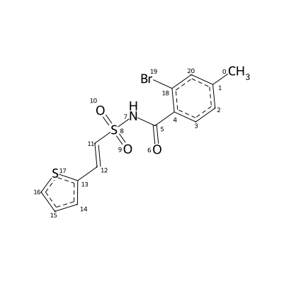 Cc1ccc(C(=O)NS(=O)(=O)C=Cc2cccs2)c(Br)c1